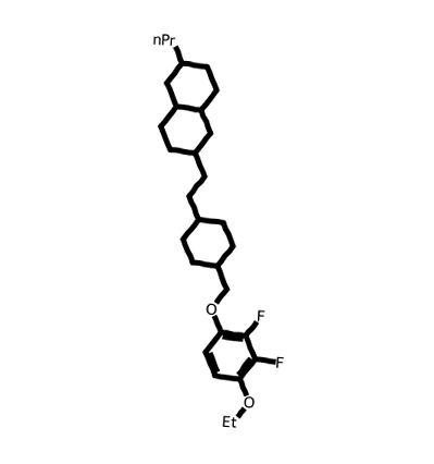 CCCC1CCC2CC(CCC3CCC(COc4ccc(OCC)c(F)c4F)CC3)CCC2C1